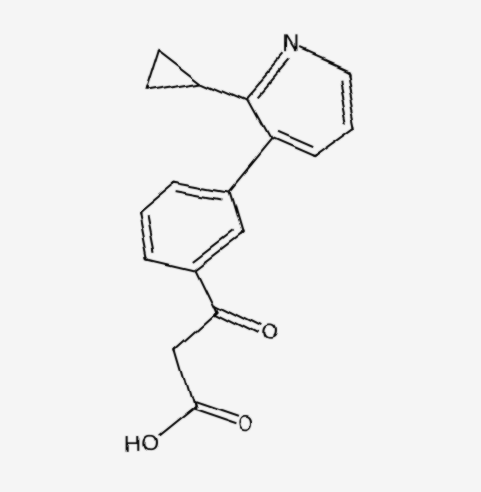 O=C(O)CC(=O)c1cccc(-c2cccnc2C2CC2)c1